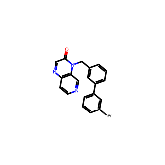 CC(C)c1cccc(-c2cccc(Cn3c(=O)cnc4ccncc43)c2)c1